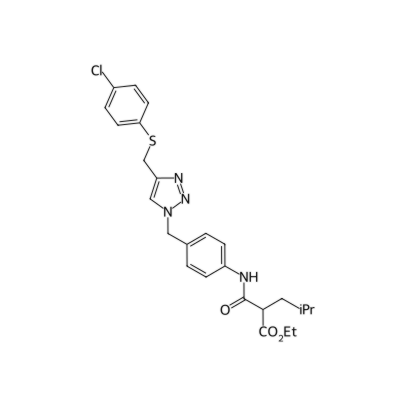 CCOC(=O)C(CC(C)C)C(=O)Nc1ccc(Cn2cc(CSc3ccc(Cl)cc3)nn2)cc1